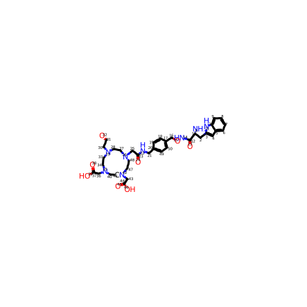 N[C@H](Cc1cc2ccccc2[nH]1)C(=O)NOCc1ccc(CNC(=O)CN2CCN(CC=O)CCN(CC(=O)O)CCN(CC(=O)O)CC2)cc1